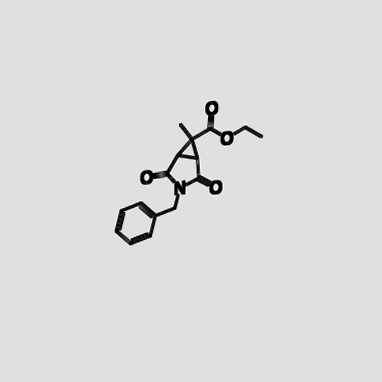 CCOC(=O)C1(C)C2C(=O)N(Cc3ccccc3)C(=O)C21